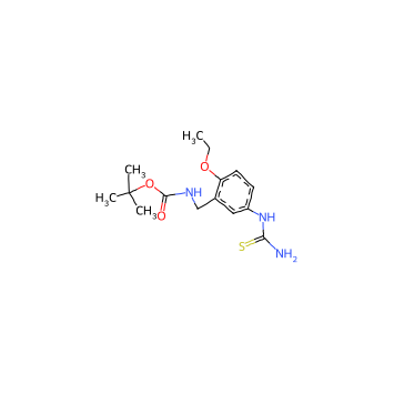 CCOc1ccc(NC(N)=S)cc1CNC(=O)OC(C)(C)C